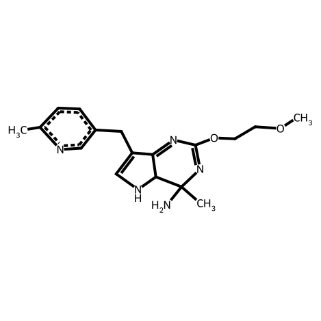 COCCOC1=NC(C)(N)C2NC=C(Cc3ccc(C)nc3)C2=N1